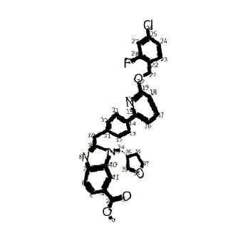 COC(=O)c1ccc2nc(Cc3ccc(-c4cccc(OCc5ccc(Cl)cc5F)n4)cc3)n(C[C@@H]3CCOC3)c2c1